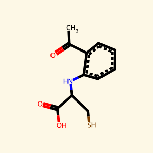 CC(=O)c1ccccc1NC(CS)C(=O)O